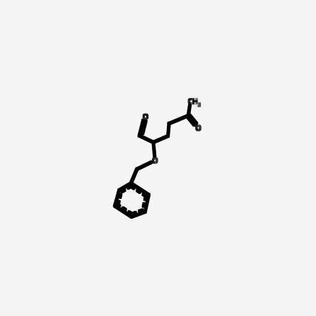 CC(=O)CCC(C=O)OCc1ccccc1